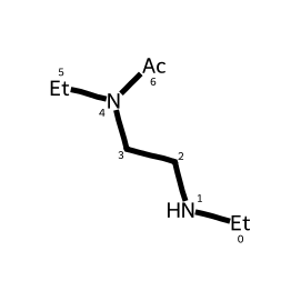 CCNCCN(CC)C(C)=O